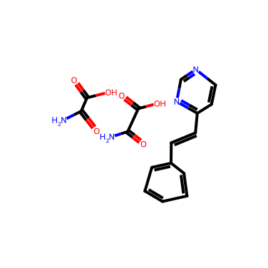 C(=Cc1ccncn1)c1ccccc1.NC(=O)C(=O)O.NC(=O)C(=O)O